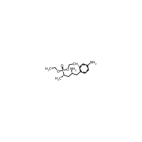 CCOP(=O)(OCC)[C@H](C)C[C@@H](N)Cc1ccc(N)cc1